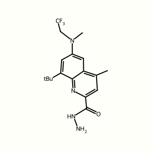 Cc1cc(C(=O)NN)nc2c(C(C)(C)C)cc(N(C)CC(F)(F)F)cc12